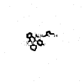 O=C(NOCc1ccc(CO)s1)[C@@H]1c2ccccc2C(=O)N([C@H]2CCCC[C@@H]2O)[C@H]1c1ccc(Cl)cc1